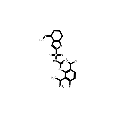 CC(C)c1ccc(F)c(C(C)C)c1NC(=O)NS(=O)(=O)c1cc2c(o1)CCC/C2=N/O